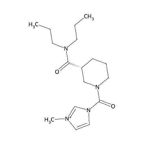 CCCN(CCC)C(=O)[C@@H]1CCCN(C(=O)n2cc[n+](C)c2)C1